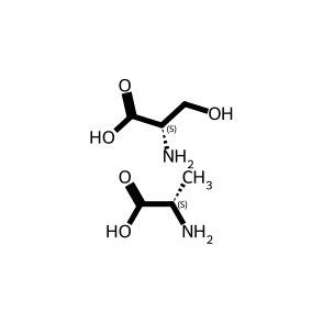 C[C@H](N)C(=O)O.N[C@@H](CO)C(=O)O